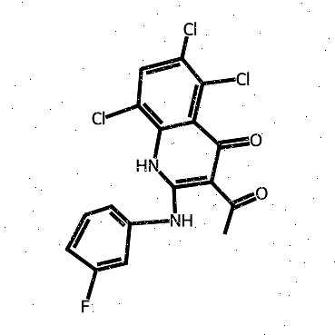 CC(=O)c1c(Nc2cccc(F)c2)[nH]c2c(Cl)cc(Cl)c(Cl)c2c1=O